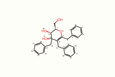 OC[C@H]1OC(Cc2ccccc2)=C(Cc2ccccc2)[C@](O)(Cc2ccccc2)[C@H]1O